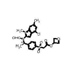 Cc1cc(Cl)c2cc(N(C=O)[C@H](C)c3ccc(S(=O)(=O)CC(=O)OC4COC4)cc3)n(C)c2c1